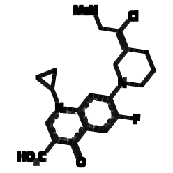 CNC/C(Cl)=C1/CCCN(c2cc3c(cc2F)c(=O)c(C(=O)O)cn3C2CC2)C1